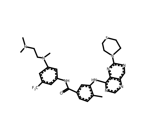 Cc1ccc(C(=O)Nc2cc(N(C)CCN(C)C)cc(C(F)(F)F)c2)cc1Nc1ncnc2cnc(N3CCSCC3)nc12